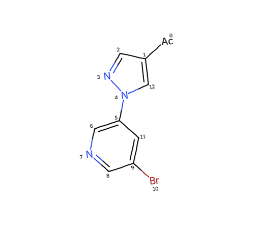 CC(=O)c1cnn(-c2cncc(Br)c2)c1